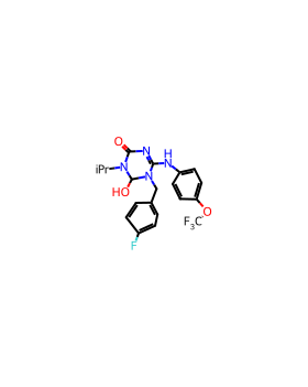 CC(C)N1C(=O)N=C(Nc2ccc(OC(F)(F)F)cc2)N(Cc2ccc(F)cc2)C1O